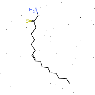 CCCCCCCC/C=C\CCCCCC(=S)[CH]N